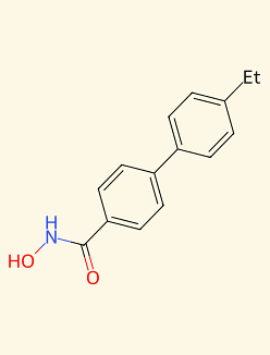 CCc1ccc(-c2ccc(C(=O)NO)cc2)cc1